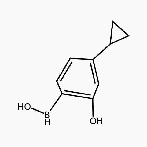 OBc1ccc(C2CC2)cc1O